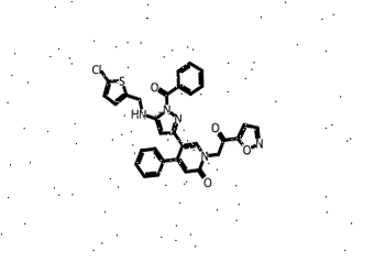 O=C(Cn1cc(-c2cc(NCc3ccc(Cl)s3)n(C(=O)c3ccccc3)n2)c(-c2ccccc2)cc1=O)c1ccno1